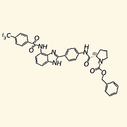 Cc1ccc(S(=O)(=O)Nc2cccc3[nH]c(-c4ccc(NC(=O)[C@@H]5CCCN5C(=O)OCc5ccccc5)cc4)nc23)cc1